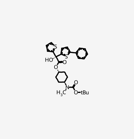 CN(C(=O)OC(C)(C)C)[C@H]1CC[C@H](OC(=O)[C@@](O)(c2cccs2)c2ccc(-c3ccccc3)s2)CC1